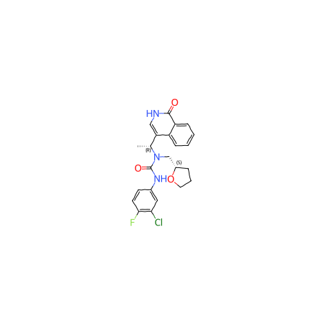 C[C@H](c1c[nH]c(=O)c2ccccc12)N(C[C@@H]1CCCO1)C(=O)Nc1ccc(F)c(Cl)c1